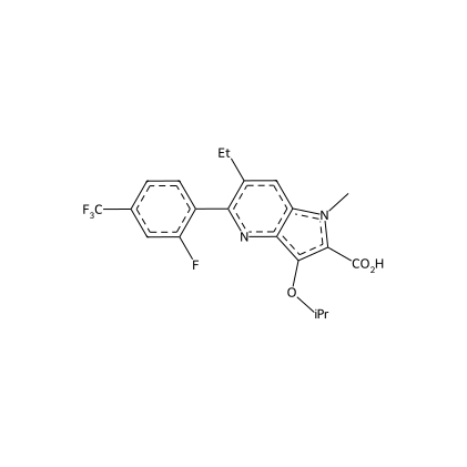 CCc1cc2c(nc1-c1ccc(C(F)(F)F)cc1F)c(OC(C)C)c(C(=O)O)n2C